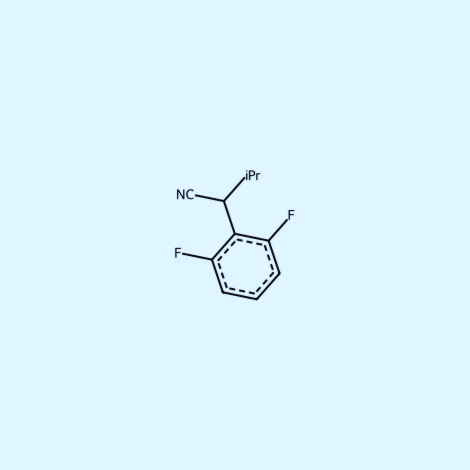 CC(C)C(C#N)c1c(F)cccc1F